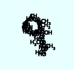 C=C1C2C[C@@H]3O[C@H]4C[C@@H](O)[C@@H](CC(=O)C[C@@H]5OC6(C[C@H](C)[C@@H]5O)C[C@H](C)[C@@H]5O[C@H](CO)[C@H](O)C[C@@H]5O6)O[C@H]4[C@H](C)[C@H]3OC(=O)C[C@H]3CC[C@@H]4O[C@H]5C6O[C@]7(CC[C@H]8CC(=C)[C@H](CC[C@@H](C[C@H]1C)O2)O8)CC6O[C@H]5[C@@H](O7)[C@H]4O3